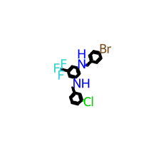 FC(F)(F)c1cc(NCc2ccc(Br)cc2)cc(NCc2cccc(Cl)c2)c1